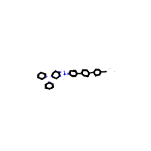 CC(C)(C)c1ccc(-c2ccc(-c3ccc(-n4nc5ccc(N(c6ccccc6)c6ccccc6)cc5n4)cc3)cc2)cc1